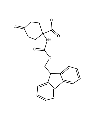 O=C1CCC(NC(=O)OCC2c3ccccc3-c3ccccc32)(C(=O)O)CC1